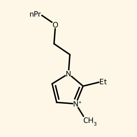 CCCOCCn1cc[n+](C)c1CC